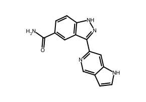 NC(=O)c1ccc2[nH]nc(-c3cc4[nH]ccc4cn3)c2c1